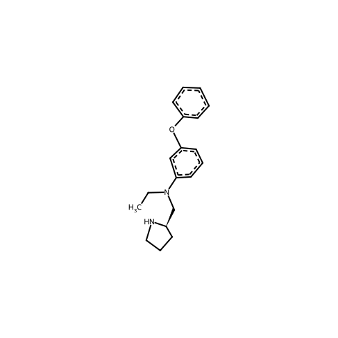 CCN(C[C@H]1CCCN1)c1cccc(Oc2ccccc2)c1